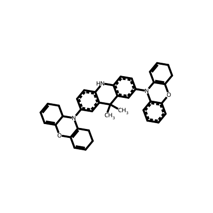 CC1(C)c2cc(N3C4=C(CCC=C4)Oc4ccccc43)ccc2Nc2ccc(N3C4=C(C=CCC4)OC4=CC=CCC43)cc21